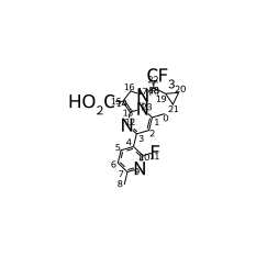 CC1=CC(c2ccc(C)nc2F)=NC2=C(C(=O)O)CN([C@H](C3CC3)C(F)(F)F)N12